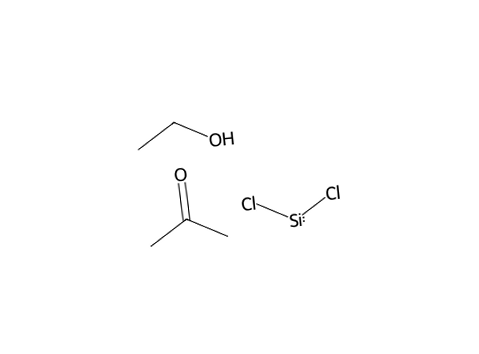 CC(C)=O.CCO.Cl[Si]Cl